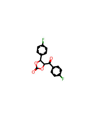 O=C1OC(C(=O)c2ccc(F)cc2)C(c2ccc(F)cc2)O1